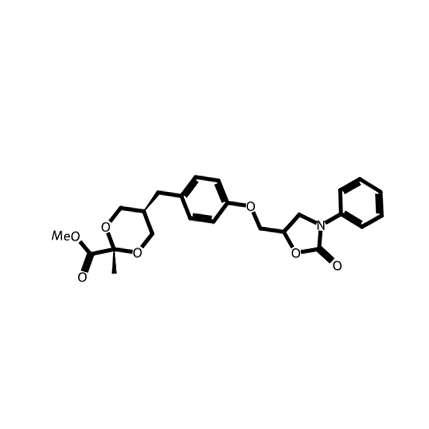 COC(=O)[C@]1(C)OC[C@@H](Cc2ccc(OCC3CN(c4ccccc4)C(=O)O3)cc2)CO1